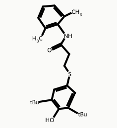 Cc1cccc(C)c1NC(=O)CCSc1cc(C(C)(C)C)c(O)c(C(C)(C)C)c1